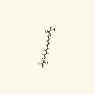 CNC(=O)OCCCCCCCCCCOC(=O)NC